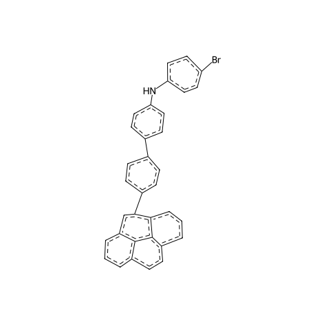 Brc1ccc(Nc2ccc(-c3ccc(-c4cc5cccc6ccc7cccc4c7c65)cc3)cc2)cc1